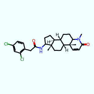 CN1C(=O)C=C[C@@]2(C)C1CC[C@@H]1[C@H]2CC[C@]2(C)C(NC(=O)Cc3ccc(Cl)cc3Cl)CC[C@@H]12